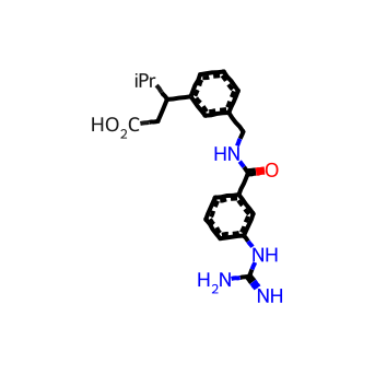 CC(C)C(CC(=O)O)c1cccc(CNC(=O)c2cccc(NC(=N)N)c2)c1